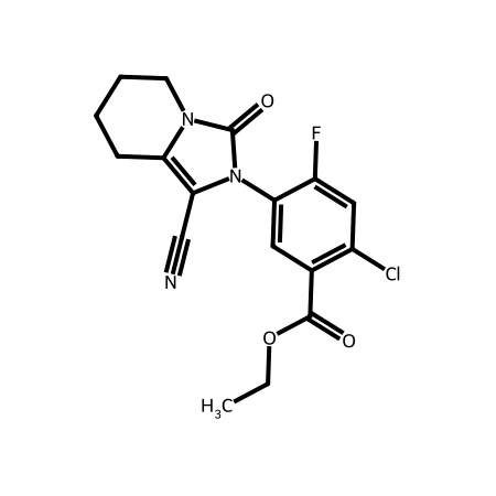 CCOC(=O)c1cc(-n2c(C#N)c3n(c2=O)CCCC3)c(F)cc1Cl